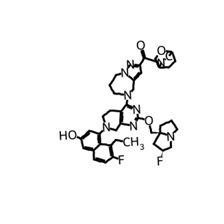 CCc1c(F)ccc2cc(O)cc(N3CCc4c(nc(OC[C@@]56CCCN5C[C@H](F)C6)nc4N4CCCn5nc(C(=O)N6CC7CCC6CO7)cc5C4)C3)c12